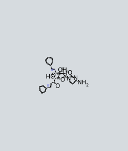 Nc1ccn([C@@H]2O[C@H](C(O)C(=O)/C=C/c3ccccc3)[C@](O)(C(=O)/C=C/c3ccccc3)C2(F)F)c(=O)n1